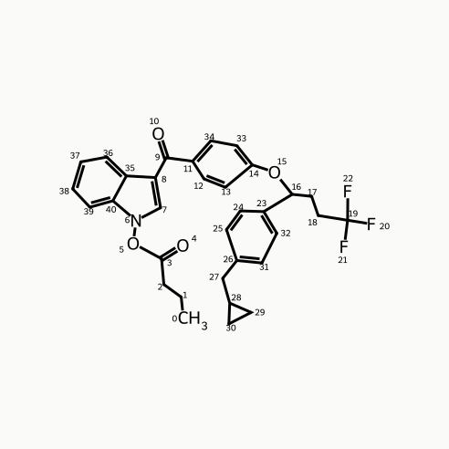 CCCC(=O)On1cc(C(=O)c2ccc(OC(CCC(F)(F)F)c3ccc(CC4CC4)cc3)cc2)c2ccccc21